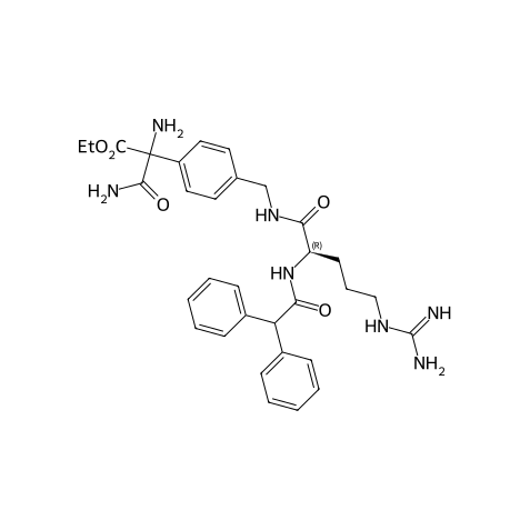 CCOC(=O)C(N)(C(N)=O)c1ccc(CNC(=O)[C@@H](CCCNC(=N)N)NC(=O)C(c2ccccc2)c2ccccc2)cc1